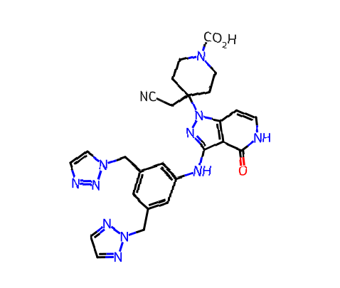 N#CCC1(n2nc(Nc3cc(Cn4ccnn4)cc(Cn4nccn4)c3)c3c(=O)[nH]ccc32)CCN(C(=O)O)CC1